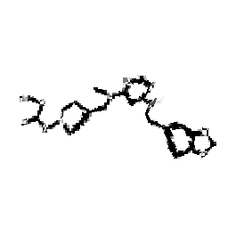 CN(CC1CCN(OC(=O)OC(C)(C)C)CC1)c1cc(NCc2ccc3c(c2)OCO3)ncn1